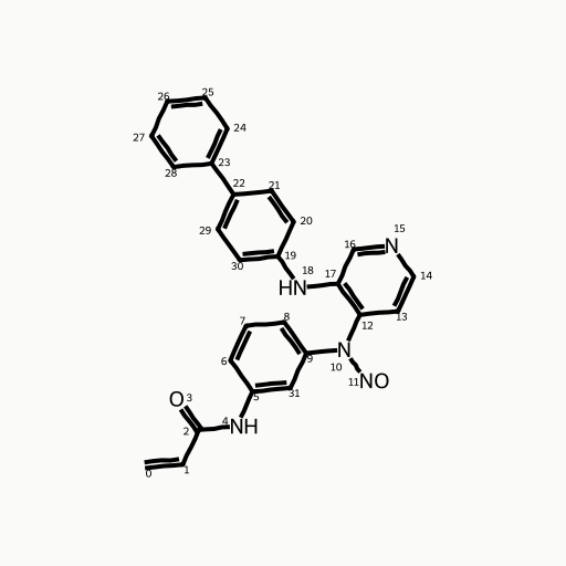 C=CC(=O)Nc1cccc(N(N=O)c2ccncc2Nc2ccc(-c3ccccc3)cc2)c1